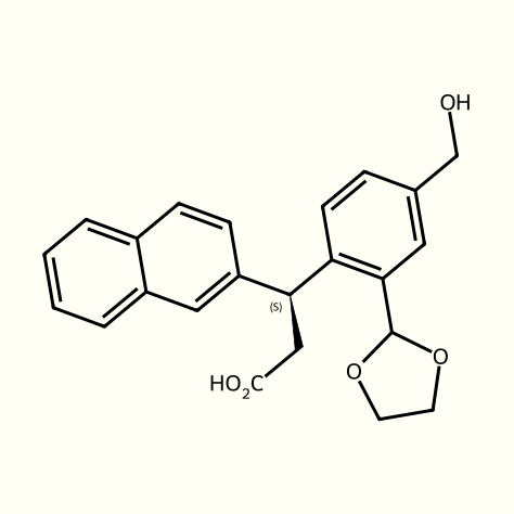 O=C(O)C[C@@H](c1ccc2ccccc2c1)c1ccc(CO)cc1C1OCCO1